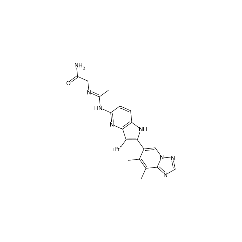 C/C(=N\CC(N)=O)Nc1ccc2[nH]c(-c3cn4ncnc4c(C)c3C)c(C(C)C)c2n1